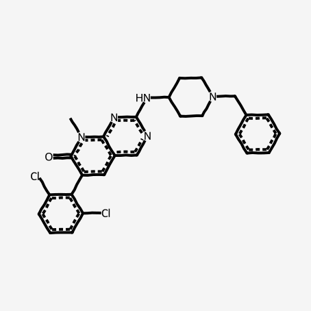 Cn1c(=O)c(-c2c(Cl)cccc2Cl)cc2cnc(NC3CCN(Cc4ccccc4)CC3)nc21